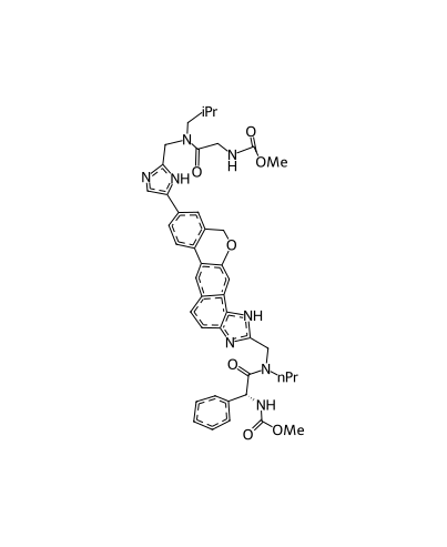 CCCN(Cc1nc2ccc3cc4c(cc3c2[nH]1)OCc1cc(-c2cnc(CN(CC(C)C)C(=O)CNC(=O)OC)[nH]2)ccc1-4)C(=O)[C@H](NC(=O)OC)c1ccccc1